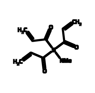 C=CC(=O)[Si](NC)(C(=O)C=C)C(=O)C=C